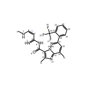 CN/C=C\C(=N)NC(=O)c1c(C)nc2c(C)cc(-c3ccccc3C(F)(F)F)nn12